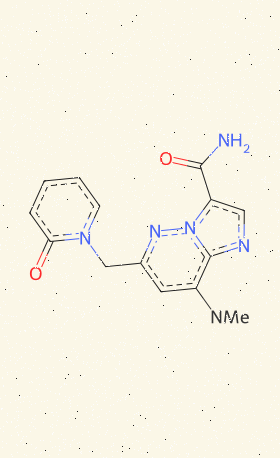 CNc1cc(Cn2ccccc2=O)nn2c(C(N)=O)cnc12